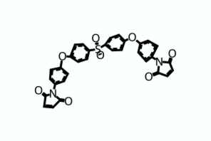 O=C1C=CC(=O)N1c1ccc(Oc2ccc(S(=O)(=O)c3ccc(Oc4ccc(N5C(=O)C=CC5=O)cc4)cc3)cc2)cc1